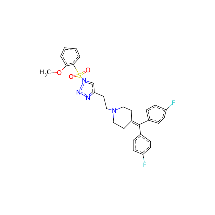 COc1ccccc1S(=O)(=O)n1cc(CCN2CCC(=C(c3ccc(F)cc3)c3ccc(F)cc3)CC2)nn1